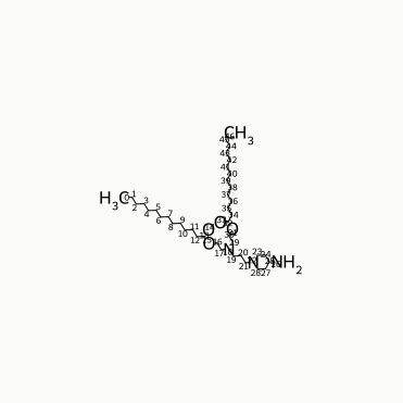 CCCCCCCCCCCCCC(=O)OCCN(CCCN1CCC(N)CC1)CCOC(=O)CCCCCCCCCCCCC